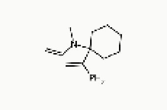 C=CN(C)C1(C(=C)P)CCCCC1